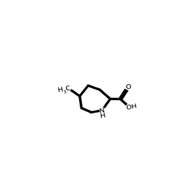 CC1CCNC(C(=O)O)CC1